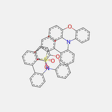 O=S1(=O)c2c(-c3ccccc3N3c4ccccc4Oc4ccccc43)cccc2-c2cccc(-c3ccccc3N3c4ccccc4Oc4ccccc43)c21